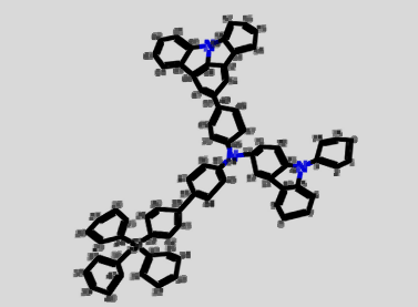 c1ccc(-n2c3ccccc3c3cc(N(c4ccc(-c5ccc([Si](c6ccccc6)(c6ccccc6)c6ccccc6)cc5)cc4)c4ccc(-c5cc6c7ccccc7n7c8ccccc8c(c5)c67)cc4)ccc32)cc1